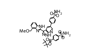 CC1(C)OB(c2ccc(S(N)(=O)=O)cc2)OC1(C)C.COCc1cccc2[nH]c(-c3n[nH]c4ncc(-c5ccc(S(N)(=O)=O)cc5)cc34)nc12